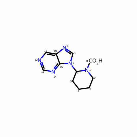 O=C(O)N1CCCCC1n1cnc2cncnc21